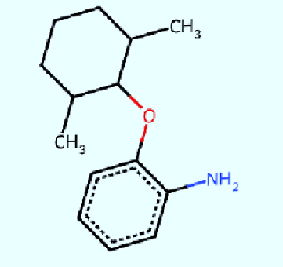 CC1CCCC(C)C1Oc1ccccc1N